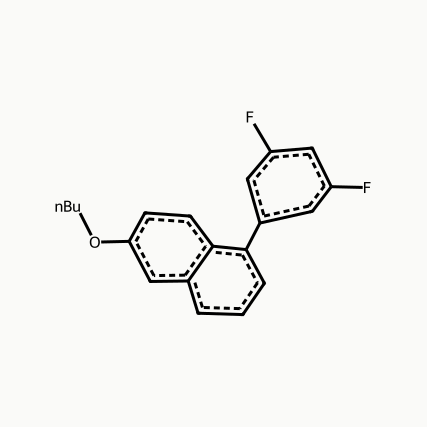 CCCCOc1ccc2c(-c3cc(F)cc(F)c3)cccc2c1